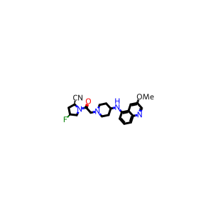 COc1cnc2cccc(NC3CCN(CC(=O)N4C[C@@H](F)C[C@H]4C#N)CC3)c2c1